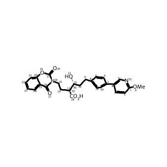 COc1ccc(-c2ccc(CC[C@@H](O)[C@H](CCn3c(=O)oc4ccccc4c3=O)C(=O)O)cc2)cn1